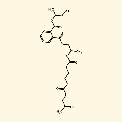 CC(O)COC(=O)CCCCC(=O)OC(C)COC(=O)c1ccccc1C(=O)OC(C)CO